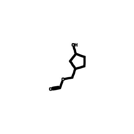 O=COCC1CCC(O)C1